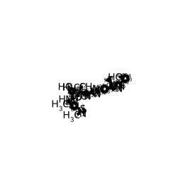 Cc1ncsc1-c1ccc([C@H](C)NC(=O)[C@@H]2C[C@@H](O)CN2C(=O)[C@H](c2cc(-c3cnc(N4CCC(c5cc6nnc(-c7ccccc7O)cc6n5C5CC5)CC4)nc3)no2)C(C)C)cc1